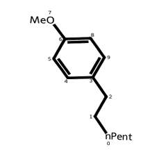 CCCCCCCc1ccc(OC)cc1